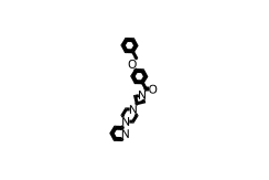 O=C(c1ccc(OCc2ccccc2)cc1)N1CC(N2CCN(c3ccccn3)CC2)C1